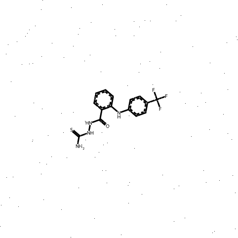 NC(=S)NNC(=O)c1ccccc1Nc1ccc(C(F)(F)F)cc1